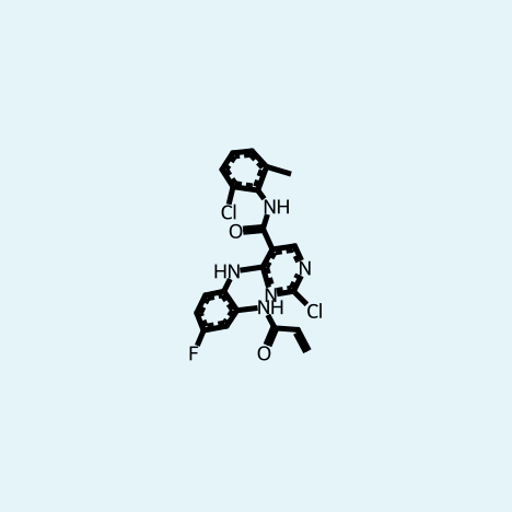 C=CC(=O)Nc1cc(F)ccc1Nc1nc(Cl)ncc1C(=O)Nc1c(C)cccc1Cl